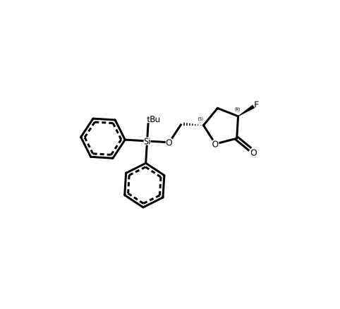 CC(C)(C)[Si](OC[C@@H]1C[C@@H](F)C(=O)O1)(c1ccccc1)c1ccccc1